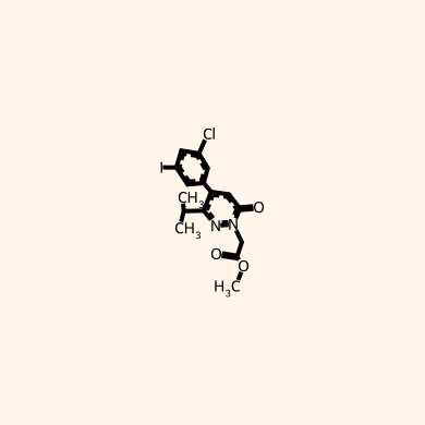 COC(=O)Cn1nc(C(C)C)c(-c2cc(Cl)cc(I)c2)cc1=O